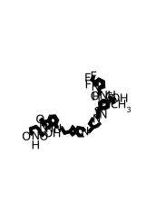 CC(C)(O)c1cc2nc(N3CCC(CN4CCC5(CC4)CC(CCNc4cccc6c4C(O)N(C4CCC(=O)NC4=O)C6=O)C5)CC3)sc2cc1NC(=O)c1cccc(C(F)(F)F)n1